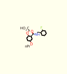 CCCOc1ccc(OCC(=O)O)c(C(=O)NCc2ccccc2F)c1